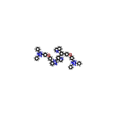 c1ccc(-c2nc(-c3ccccc3)nc(-c3ccc(Oc4ccc(-c5cc(-c6cccc7cccnc67)cc(-c6ccc(-c7cnc8cccc(-c9ccc(Oc%10ccc(-c%11nc(-c%12ccccc%12)nc(-c%12ccccc%12)n%11)cc%10)cc9)c8n7)c7cccnc67)c5)cc4)cc3)n2)cc1